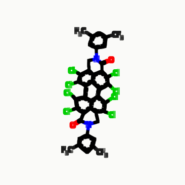 O=C1c2c(Cl)c(Cl)c3c4c(Cl)c(Cl)c5c6c(c(Cl)c(Cl)c(c7c(Cl)c(Cl)c(c2c73)CN1c1cc(C(F)(F)F)cc(C(F)(F)F)c1)c64)C(=O)N(c1cc(C(F)(F)F)cc(C(F)(F)F)c1)C5